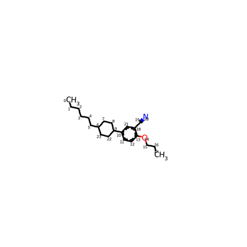 CCCCCCC1CCC(c2ccc(OCCC)c(C#N)c2)CC1